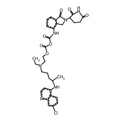 CCN(CCCC(C)Nc1ccnc2cc(Cl)ccc12)CCOC(=O)OC(=O)Nc1cccc2c1CN(C1CCC(=O)NC1=O)C2=O